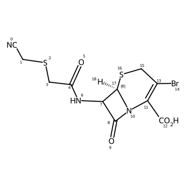 N#CCSCC(=O)NC1C(=O)N2C(C(=O)O)=C(Br)CS[C@H]12